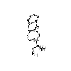 N=CC(=N)N1CCC2(CC1)Cc1ccccc1O2